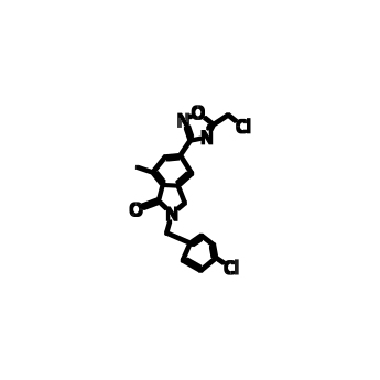 Cc1cc(-c2noc(CCl)n2)cc2c1C(=O)N(Cc1ccc(Cl)cc1)C2